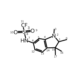 CC1N(C)c2cc(NS(=O)(=O)C(F)(F)F)ccc2C1(C)C